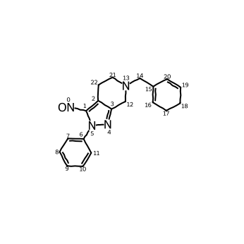 O=Nc1c2c(nn1-c1ccccc1)CN(CC1=CCCC=C1)CC2